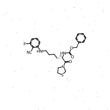 N#Cc1c(F)cccc1NCCCC[C@H](NC(=O)OCc1ccccc1)C(=O)N1CCSC1